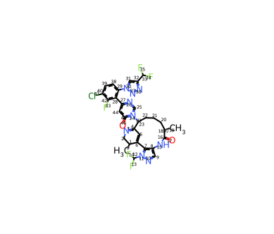 CC1CN=C2C=C1c1c(cnn1C(F)F)NC(=O)[C@H](C)CCC[C@@H]2n1cnc(-c2c(-n3cc(C(F)F)nn3)ccc(Cl)c2F)cc1=O